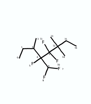 CCC(C)C(F)(C(F)F)C(F)(F)C(C)(C)CC